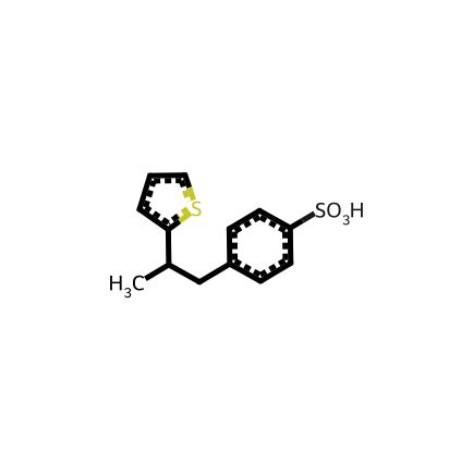 CC(Cc1ccc(S(=O)(=O)O)cc1)c1cccs1